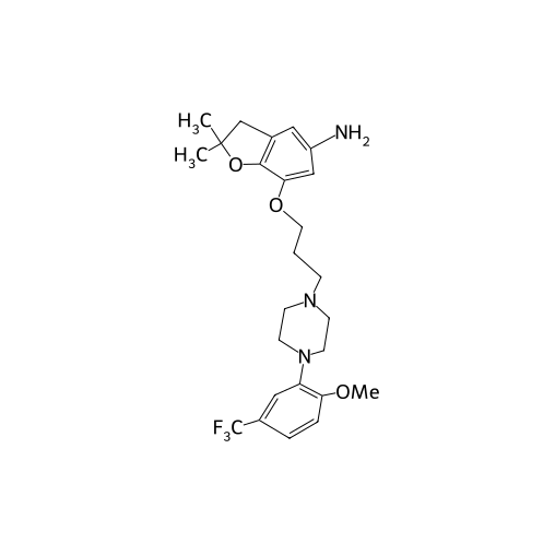 COc1ccc(C(F)(F)F)cc1N1CCN(CCCOc2cc(N)cc3c2OC(C)(C)C3)CC1